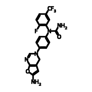 NC(=O)N(c1ccc(N2C=Nc3oc(N)cc3C2)cc1)c1cc(C(F)(F)F)ccc1F